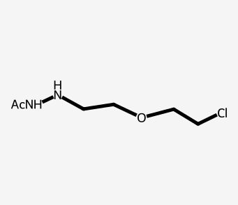 CC(=O)NNCCOCCCl